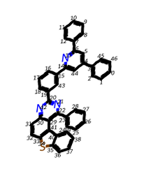 c1ccc(-c2cc(-c3ccccc3)nc(-c3cccc(-c4nc(-c5ccccc5)c5c(ccc6sc7ccccc7c65)n4)c3)c2)cc1